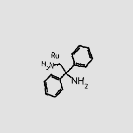 NCC(N)(c1ccccc1)c1ccccc1.[Ru]